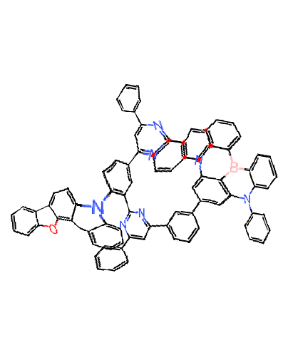 c1ccc(-c2cc(-c3ccc(-n4c5ccccc5c5c6oc7ccccc7c6ccc54)c(-c4nc(-c5ccccc5)cc(-c5cccc(-c6cc7c8c(c6)N(c6ccccc6)c6ccccc6B8c6ccccc6N7c6ccccc6)c5)n4)c3)nc(-c3ccccc3)n2)cc1